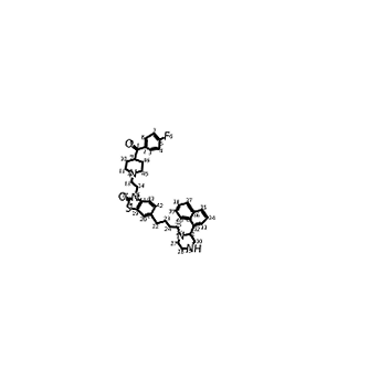 O=C(c1ccc(F)cc1)C1CCN(CCn2c(=O)sc3cc(CCCCN4CCNCC4c4cccc5ccccc45)ccc32)CC1